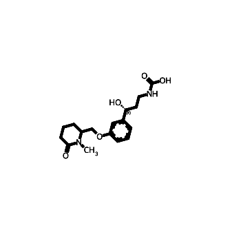 CN1C(=O)CCCC1COc1cccc([C@H](O)CCNC(=O)O)c1